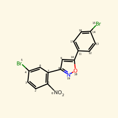 O=[N+]([O-])c1ccc(Br)cc1-c1cc(-c2ccc(Br)cc2)on1